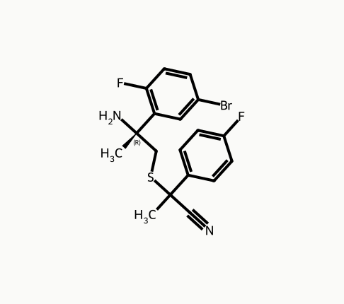 CC(C#N)(SC[C@](C)(N)c1cc(Br)ccc1F)c1ccc(F)cc1